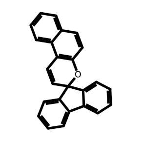 C1=CC2(Oc3ccc4ccccc4c31)c1ccccc1-c1ccccc12